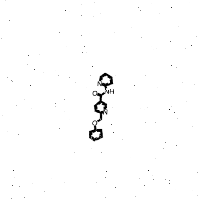 O=C(Nc1ccccn1)c1ccc(COc2ccccc2)nc1